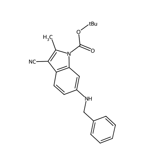 Cc1c(C#N)c2ccc(NCc3ccccc3)cc2n1C(=O)OC(C)(C)C